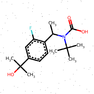 CC(c1ccc(C(C)(C)O)cc1F)N(C(=O)O)C(C)(C)C